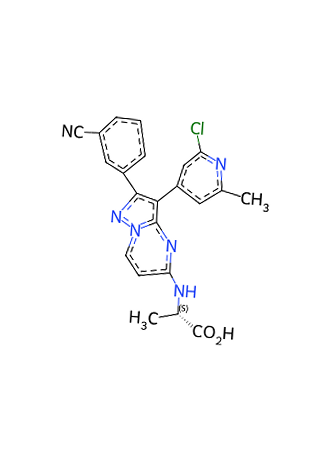 Cc1cc(-c2c(-c3cccc(C#N)c3)nn3ccc(N[C@@H](C)C(=O)O)nc23)cc(Cl)n1